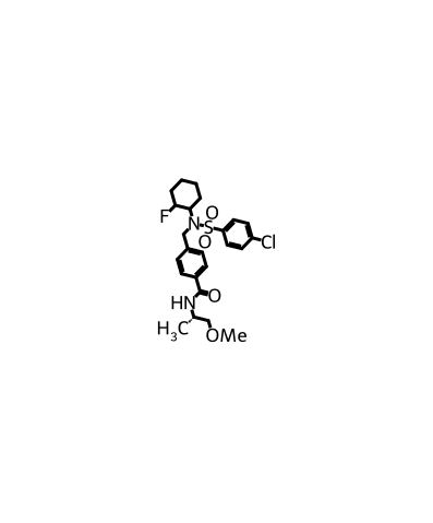 COC[C@H](C)NC(=O)c1ccc(CN(C2CCCCC2F)S(=O)(=O)c2ccc(Cl)cc2)cc1